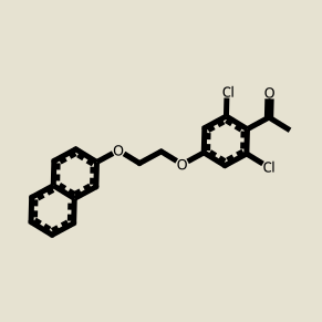 CC(=O)c1c(Cl)cc(OCCOc2ccc3ccccc3c2)cc1Cl